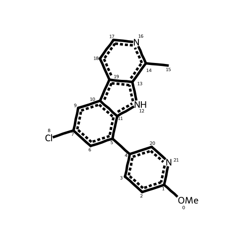 COc1ccc(-c2cc(Cl)cc3c2[nH]c2c(C)nccc23)cn1